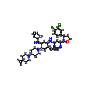 C=CC(=O)Nc1cc(Nc2cc(N3OCC[C@@H]3c3ccc(F)c(Cl)c3)ncn2)c(OC)cc1N1CCC(N2CCC3(CC2)CC3)CC1